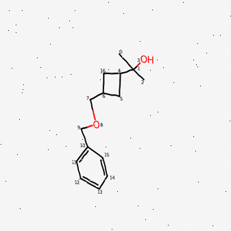 CC(C)(O)C1CC(COCc2ccccc2)C1